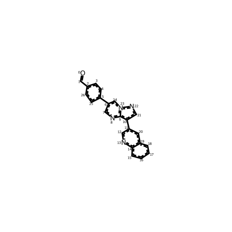 O=Cc1ccc(-c2cnc3c(-c4cnc5ccccc5c4)cnn3c2)cc1